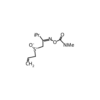 C=CC[S+]([O-])CC(=NOC(=O)NC)C(C)C